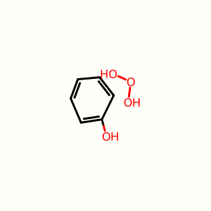 OOO.Oc1ccccc1